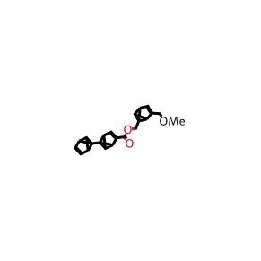 COCC1=CC2C=C(COC(=O)C3=CC4CC3C=C4C3=CC4C=CC3C4)C1C2